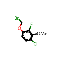 COc1c(Cl)ccc(OCBr)c1F